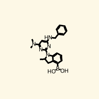 CC1Cc2c(B(O)O)cccc2N1c1nc(NCc2ccccc2)cc(N(C)C)n1